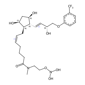 CN(CCON(O)O)C(=O)CCC/C=C\C[C@@H]1[C@@H](/C=C/[C@@H](O)COc2cccc(C(F)(F)F)c2)[C@H](O)C[C@@H]1O